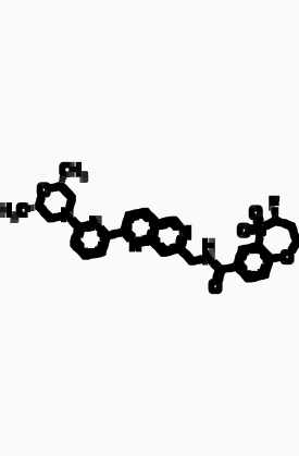 C[C@@H]1CN(c2cccc(-c3ccc4cnc(CNC(=O)c5ccc6c(c5)S(=O)(=O)[C@@H](F)CCO6)cc4n3)n2)C[C@H](C)O1